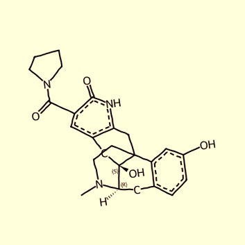 CN1CCC23Cc4[nH]c(=O)c(C(=O)N5CCCC5)cc4C[C@@]2(O)[C@H]1Cc1ccc(O)cc13